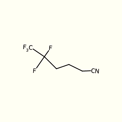 N#CCCCC(F)(F)C(F)(F)F